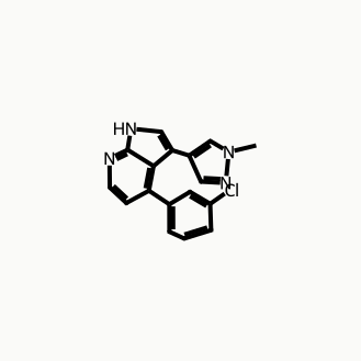 Cn1cc(-c2c[nH]c3nccc(-c4cccc(Cl)c4)c23)cn1